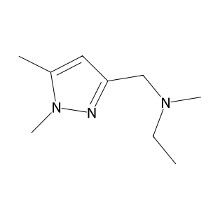 CCN(C)Cc1cc(C)n(C)n1